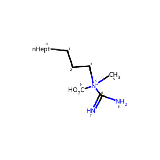 CCCCCCCCCC[N+](C)(C(=N)N)C(=O)O